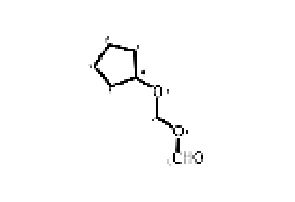 O=[C]OCOC1CCCC1